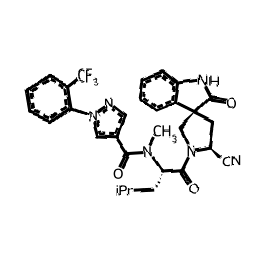 CC(C)C[C@@H](C(=O)N1C[C@]2(C[C@H]1C#N)C(=O)Nc1ccccc12)N(C)C(=O)c1cnn(-c2ccccc2C(F)(F)F)c1